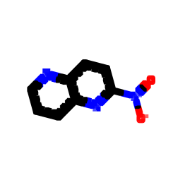 O=[N+]([O-])c1ccc2ncccc2n1